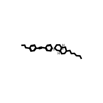 CCCCCCC1CC[C@@H]2C[C@H](c3ccc(C#Cc4ccc(CCC)cc4)cc3)CC[C@@H]2C1